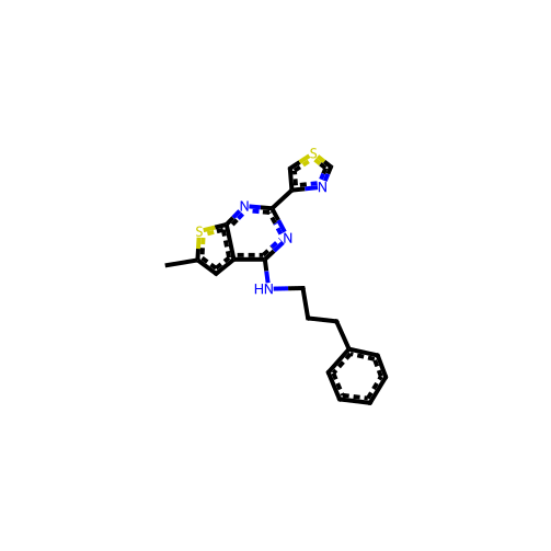 Cc1cc2c(NCCCc3ccccc3)nc(-c3cscn3)nc2s1